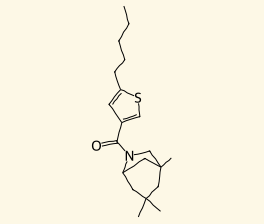 CCCCCc1cc(C(=O)N2CC3(C)CC2CC(C)(C)C3)cs1